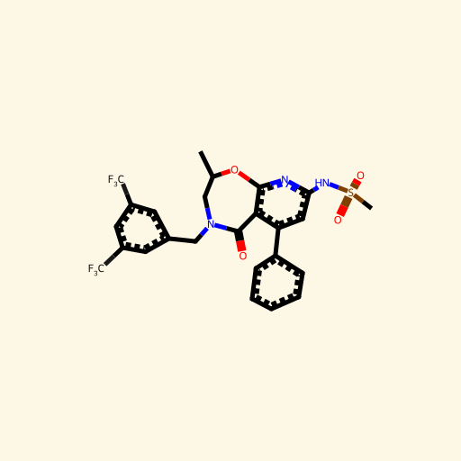 CC1CN(Cc2cc(C(F)(F)F)cc(C(F)(F)F)c2)C(=O)c2c(-c3ccccc3)cc(NS(C)(=O)=O)nc2O1